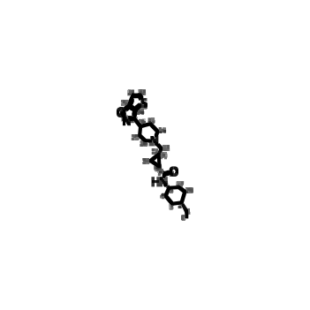 CC[C@H]1CC[C@H](NC(=O)[C@@H]2C[C@H]2CN2CCC(c3noc4ccsc34)CC2)CC1